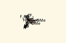 COCCCC(=O)c1ccc(CN2C(c3ccc(OC)cc3)=C(c3ccc(C(=O)N=[N+]=[N-])cc3)NC2c2cc(C(F)(F)F)cc(C(F)(F)F)c2)cc1